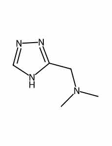 CN(C)Cc1nnc[nH]1